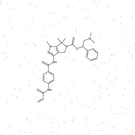 C=CC(=O)Nc1ccc(C(=O)Nc2nn(C)c3c2CN(C(=O)OC(CN(C)C)c2ccccc2)C3(C)C)cc1